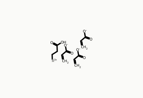 C=CC(=O)[O-].C=CC(=O)[O-].C=CC(=O)[O-].O=C(O)C[CH2][Ti+3]